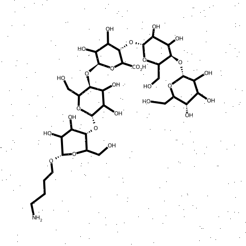 NCCCCO[C@H]1OC(CO)[C@@H](O[C@@H]2OC(CO)[C@@H](O[C@@H]3OC(C(=O)O)[C@@H](O[C@H]4OC(CO)[C@H](O[C@H]5OC(CO)[C@@H](O)C(O)C5O)C(O)C4O)C(O)C3O)C(O)C2O)C(O)C1O